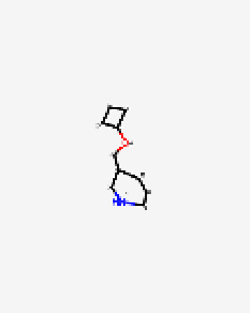 C1CNCC(COC2CCC2)C1